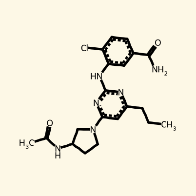 CCCc1cc(N2CCC(NC(C)=O)C2)nc(Nc2cc(C(N)=O)ccc2Cl)n1